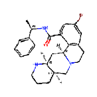 C[C@@H](NC(=O)c1cc(Br)cc2c1[C@@H]1C[C@@H]3NCCC[C@@H]3CN1CC2)c1ccccc1